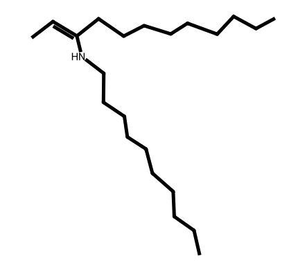 CC=C(CCCCCCCCC)NCCCCCCCCCC